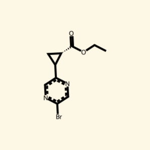 CCOC(=O)[C@H]1CC1c1cnc(Br)cn1